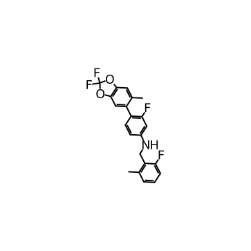 Cc1cc2c(cc1-c1ccc(NCc3c(C)cccc3F)cc1F)OC(F)(F)O2